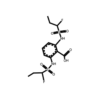 CCC(F)S(=O)(=O)Nc1cccc(NS(=O)(=O)C(F)CC)c1C(=O)O